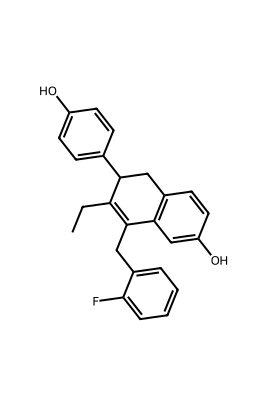 CCC1=C(Cc2ccccc2F)c2cc(O)ccc2CC1c1ccc(O)cc1